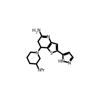 CCCC1CCCN(C2CC(N)=Nc3cc(-c4ccn[nH]4)sc32)C1